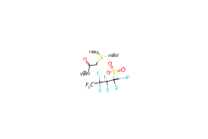 CCCCC(=O)C[S+](CCCC)CCCC.O=S(=O)([O-])C(F)(F)C(F)(F)C(F)(F)C(F)(F)F